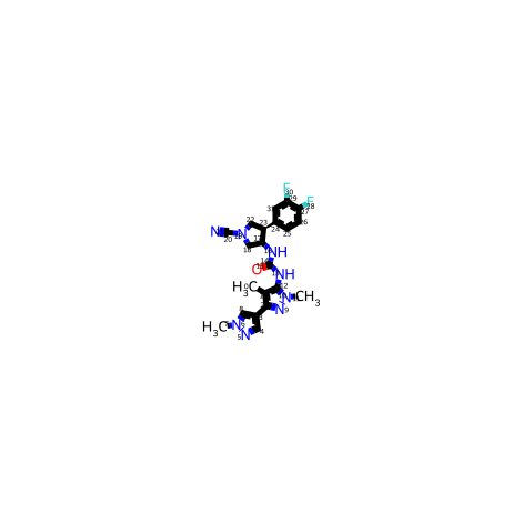 Cc1c(-c2cnn(C)c2)nn(C)c1NC(=O)NC1CN(C#N)C[C@H]1c1ccc(F)c(F)c1